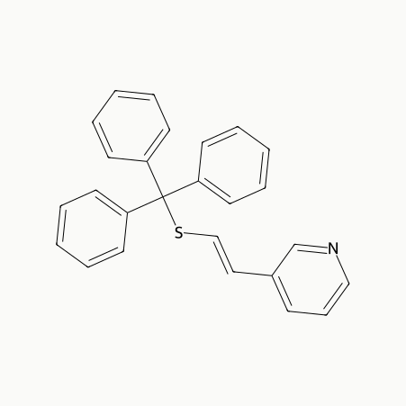 C(=Cc1cccnc1)SC(c1ccccc1)(c1ccccc1)c1ccccc1